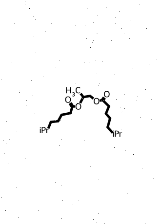 CC(C)CCCCC(=O)OCC(C)OC(=O)CCCCC(C)C